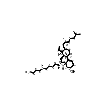 CC(C)CCC[C@@H](C)[C@H]1CC[C@H]2C3=C[C@@H](NCCCCNCCCN)[C@@]4(O)C[C@@H](O)CC[C@]4(C)[C@H]3CC[C@]12C